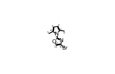 Cc1ccc(C)n1-c1nc(Br)co1